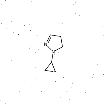 C1=NN(C2CC2)CC1